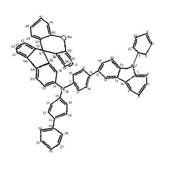 C1=CCC(n2c3ccccc3c3cc(-c4ccc(N(c5ccc(-c6ccccc6)cc5)c5ccc6c(c5)C5(c7ccccc7Oc7ccccc75)c5ccccc5-6)cc4)ccc32)C=C1